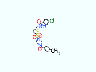 Cc1ccc(C(=O)N2CCN(S(=O)(=O)c3ccc(CNC(=O)c4ccc(Cl)cc4)s3)CC2)cc1